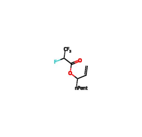 C=CC(CCCCC)OC(=O)C(F)C(F)(F)F